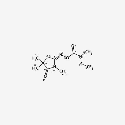 CN(SC(F)(F)F)C(=O)ON=C1SC(C)(C)C(=O)N1C